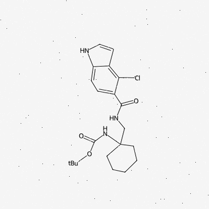 CC(C)(C)OC(=O)NC1(CNC(=O)c2ccc3[nH]ccc3c2Cl)CCCCC1